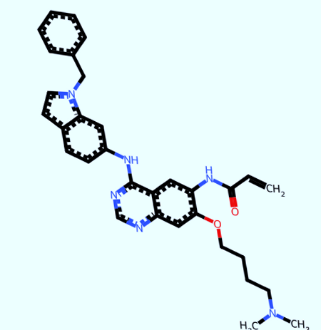 C=CC(=O)Nc1cc2c(Nc3ccc4ccn(Cc5ccccc5)c4c3)ncnc2cc1OCCCCN(C)C